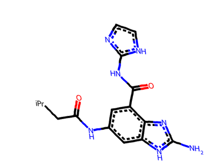 CC(C)CC(=O)Nc1cc(C(=O)Nc2ncc[nH]2)c2nc(N)[nH]c2c1